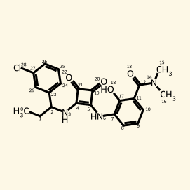 CCC(Nc1c(Nc2cccc(C(=O)N(C)C)c2O)c(=O)c1=O)c1cccc(Cl)c1